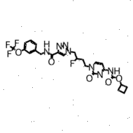 O=C(Nc1ccn(CCC(F)Cn2cc(C(=O)NCc3cccc(OC(F)(F)F)c3)nn2)c(=O)n1)OC1CCC1